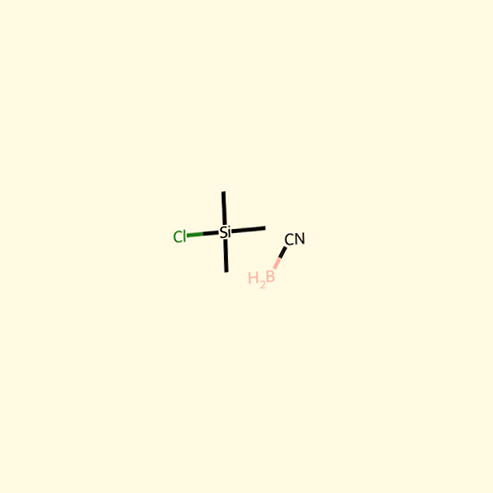 BC#N.C[Si](C)(C)Cl